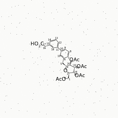 CC(=O)OC[C@H]1O[C@@H](Cc2cccc(-c3cccc(CC(=O)O)c3)c2)[C@@H](OC(C)=O)[C@@H](OC(C)=O)[C@@H]1OC(C)=O